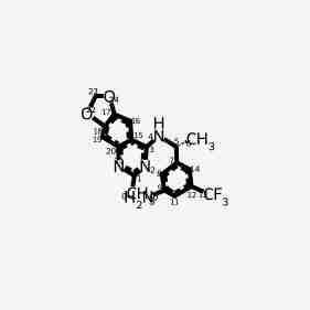 Cc1nc(N[C@H](C)c2cc(N)cc(C(F)(F)F)c2)c2cc3c(cc2n1)OCO3